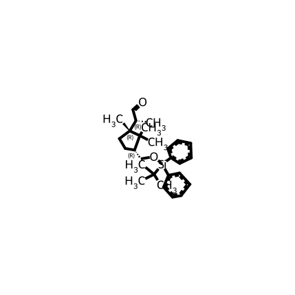 C[C@@H](C=O)[C@@]1(C)CC[C@@H](CO[Si](c2ccccc2)(c2ccccc2)C(C)(C)C)C1(C)C